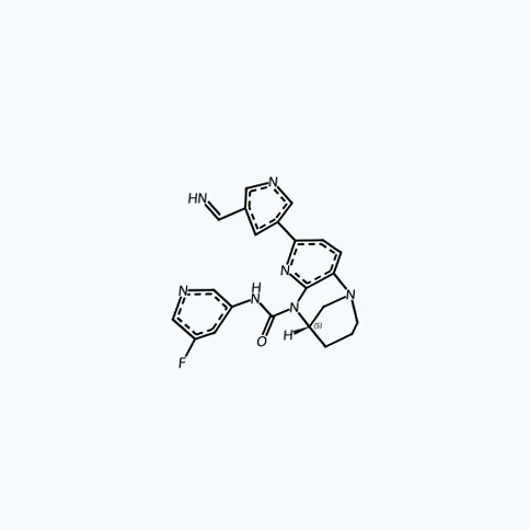 N=Cc1cncc(-c2ccc3c(n2)N(C(=O)Nc2cncc(F)c2)[C@H]2CCCN3C2)c1